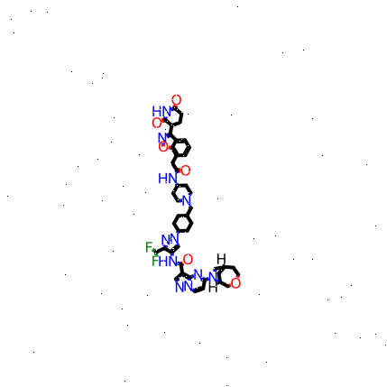 O=C1CCC(c2noc3c(CC(=O)NC4CCN(CC5CCC(n6cc(NC(=O)c7cnn8ccc(N9C[C@@H]%10CCOC[C@H]9C%10)nc78)c(C(F)F)n6)CC5)CC4)cccc23)C(=O)N1